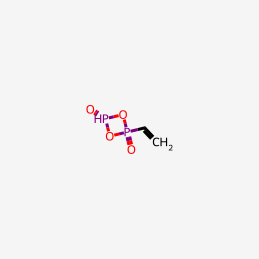 C=CP1(=O)O[PH](=O)O1